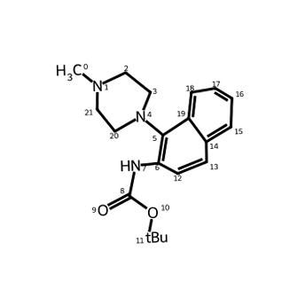 CN1CCN(c2c(NC(=O)OC(C)(C)C)ccc3ccccc23)CC1